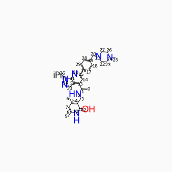 C=C(NCC1=C(C)C=C(C)NC1O)c1cc(-c2ccc(CN3CCN(C)CC3)cc2)nc2c1cnn2C(C)C